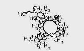 C#CCCN(C)[C@H]1C[C@@H](C)O[C@@H](O[C@@H]2[C@@H](C)[C@H](OC3C[C@@](C)(OC)[C@@H](O)[C@H](C)O3)[C@@H](C)C(=O)O[C@H](CC)[C@@](C)(O)[C@H](O)[C@@H](C)/C(=N/O)[C@H](C)C[C@@]2(C)O)[C@@H]1O